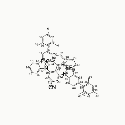 Cc1cc(C)c(-c2ccc3c(c2)c2ccccc2n3-c2cc(C#N)cc(-n3c4ccccc4c4cc(-c5c(C)cc(C)cc5C)ccc43)c2-c2c(C(F)(F)F)cccc2C(F)(F)F)c(C)c1